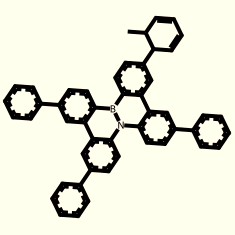 CC1C=CC=CC1c1ccc2c(c1)-c1cc(-c3ccccc3)ccc1N1B2c2ccc(-c3ccccc3)cc2-c2cc(-c3ccccc3)ccc21